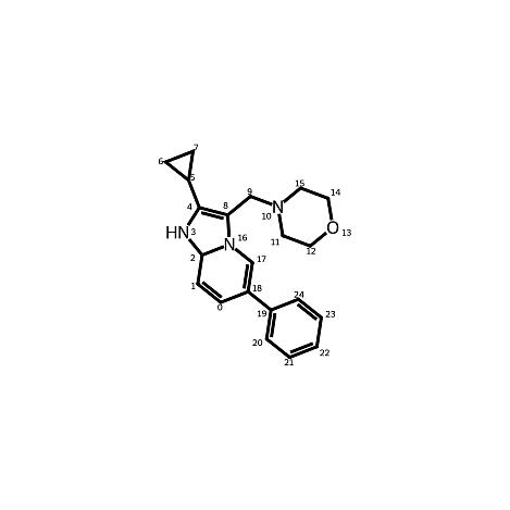 C1=CC2NC(C3CC3)=C(CN3CCOCC3)N2C=C1c1ccccc1